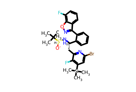 CC(C)(C)[S@+]([O-])N[C@@H](Cc1nc(Br)cc([Si](C)(C)C)c1F)c1ccccc1-c1noc2c(F)cccc12